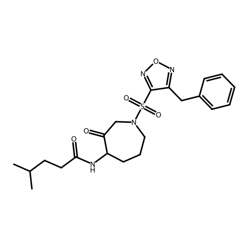 CC(C)CCC(=O)NC1CCCN(S(=O)(=O)c2nonc2Cc2ccccc2)CC1=O